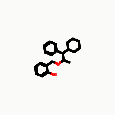 CC(OCc1ccccc1O)C(c1ccccc1)C1CCCCC1